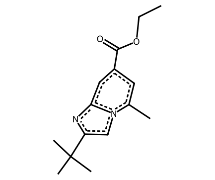 CCOC(=O)c1cc(C)n2cc(C(C)(C)C)nc2c1